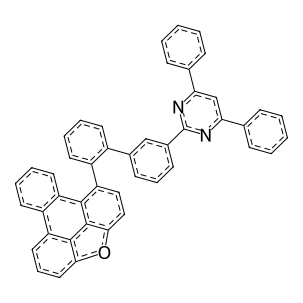 c1ccc(-c2cc(-c3ccccc3)nc(-c3cccc(-c4ccccc4-c4ccc5oc6cccc7c8ccccc8c4c5c67)c3)n2)cc1